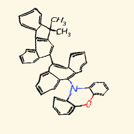 CC1(C)c2ccccc2-c2c1cc(-c1c3ccccc3c(N3c4ccccc4Oc4ccccc43)c3ccccc13)c1ccccc21